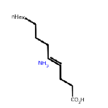 CCCCCCCCCC=CCCC(=O)O.N